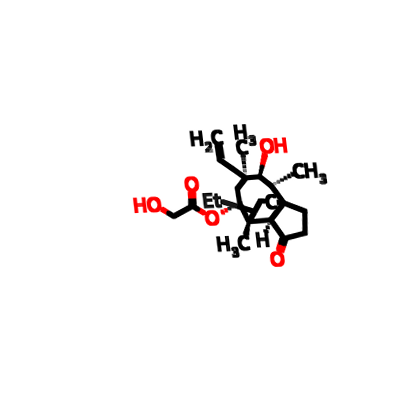 C=C[C@]1(C)C[C@@H](OC(=O)CO)[C@]2(C)C(CC)CC[C@]3(CCC(=O)[C@H]32)[C@@H](C)[C@@H]1O